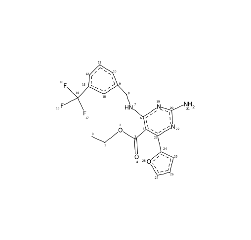 CCOC(=O)c1c(NCc2cccc(C(F)(F)F)c2)nc(N)nc1-c1ccco1